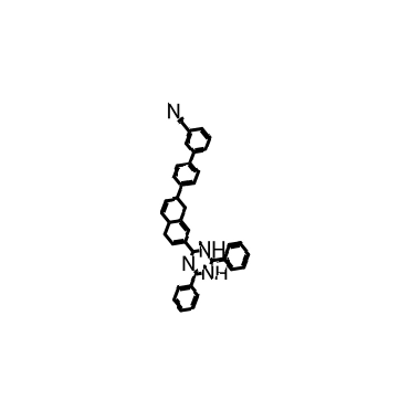 N#Cc1cccc(-c2ccc(C3C=CC4CC=C(C5N=C(c6ccccc6)NC(c6ccccc6)N5)C=C4C3)cc2)c1